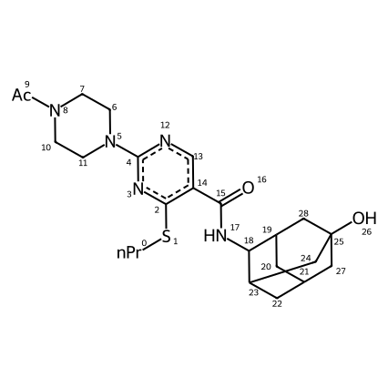 CCCSc1nc(N2CCN(C(C)=O)CC2)ncc1C(=O)NC1C2CC3CC1CC(O)(C3)C2